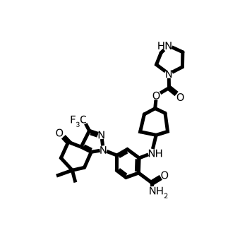 CC1(C)CC(=O)c2c(C(F)(F)F)nn(-c3ccc(C(N)=O)c(NC4CCC(OC(=O)N5CCNCC5)CC4)c3)c2C1